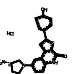 Cl.N[C@H]1CCN(c2ccc3[nH]c(=O)c4sc(-c5ccc(O)cc5)cc4c3c2)C1